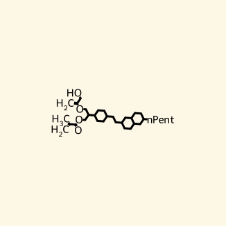 C=C(CO)OCC(COC(=O)C(=C)C)C1CCC(CCC2CCC3CC(CCCCC)CCC3C2)CC1